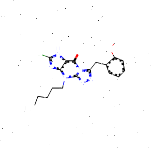 CCCCCn1c2nc(Br)[nH]c2c(=O)n2c(Cc3ccccc3OC)nnc12